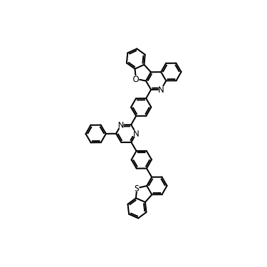 c1ccc(-c2cc(-c3ccc(-c4cccc5c4sc4ccccc45)cc3)nc(-c3ccc(-c4nc5ccccc5c5c4oc4ccccc45)cc3)n2)cc1